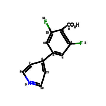 O=C(O)c1c(F)cc(-c2ccncc2)cc1F